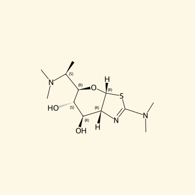 C[C@@H]([C@H]1O[C@@H]2SC(N(C)C)=N[C@@H]2[C@@H](O)[C@@H]1O)N(C)C